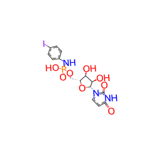 O=c1ccn([C@@H]2O[C@H](COP(=O)(O)Nc3ccc(I)cc3)[C@@H](O)[C@H]2O)c(=O)[nH]1